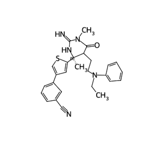 CCN(CCC1C(=O)N(C)C(=N)N[C@]1(C)c1cc(-c2cccc(C#N)c2)cs1)c1ccccc1